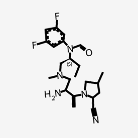 C=C(C(N)CN(C)C[C@H](CC)N(C=O)c1cc(F)cc(F)c1)N1CC(C)CC1C#N